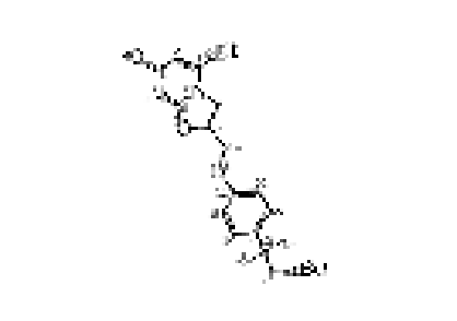 CCc1cc(=O)nc2n1C[C@@H](COc1ccc(C(C)(C)CC(C)(C)C)cc1)O2